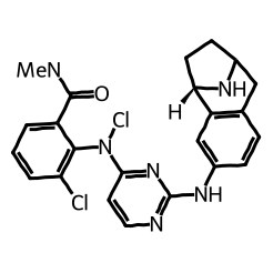 CNC(=O)c1cccc(Cl)c1N(Cl)c1ccnc(Nc2ccc3c(c2)[C@@H]2CCC(C3)N2)n1